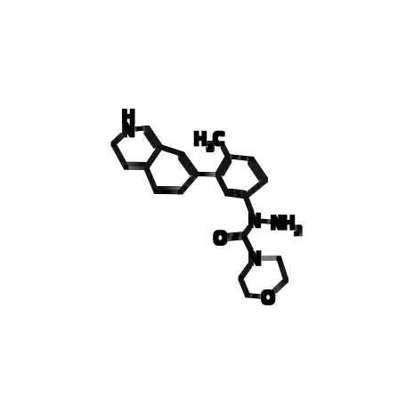 Cc1ccc(N(N)C(=O)N2CCOCC2)cc1-c1ccc2c(c1)=CNCC=2